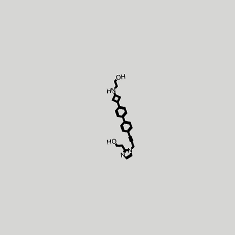 OCCNC1CC(c2ccc(-c3ccc(C#CCn4ccnc4CCO)cc3)cc2)C1